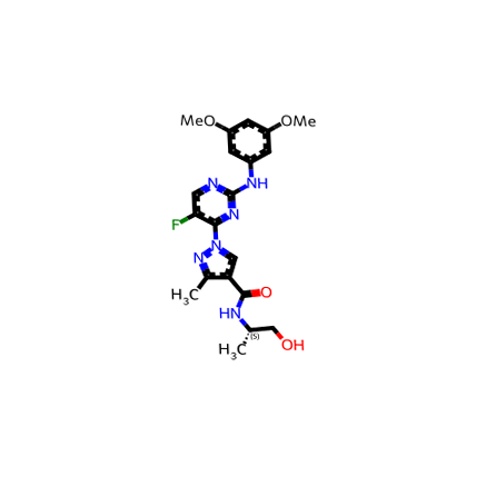 COc1cc(Nc2ncc(F)c(-n3cc(C(=O)N[C@@H](C)CO)c(C)n3)n2)cc(OC)c1